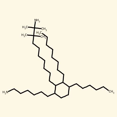 CCCCCCCCC1C(CCCCCC)CCC(CCCCCCN)C1CCCCCCCC(C)(C)C(C)(C)N